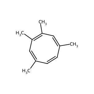 CC1=CC(C)=C(C)C=C(C)C=C1